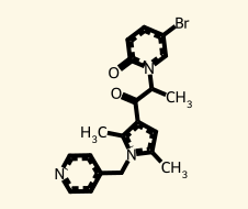 Cc1cc(C(=O)C(C)n2cc(Br)ccc2=O)c(C)n1Cc1ccncc1